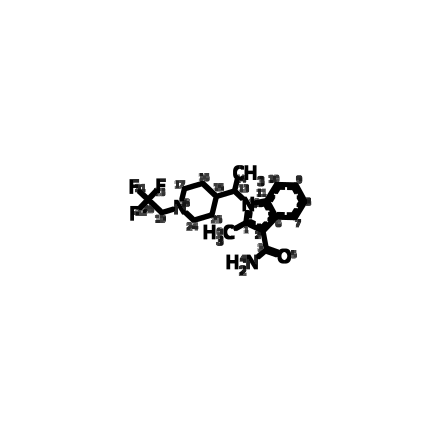 Cc1c(C(N)=O)c2ccccc2n1C(C)C1CCN(CC(F)(F)F)CC1